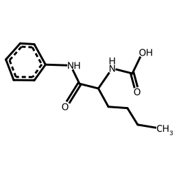 CCCCC(NC(=O)O)C(=O)Nc1ccccc1